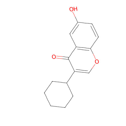 O=c1c(C2CCCCC2)coc2ccc(O)cc12